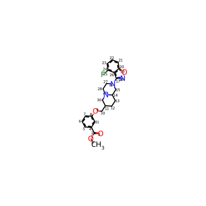 COC(=O)c1cccc(OCC2CCC3CN(c4noc5cccc(F)c45)CCN3C2)c1